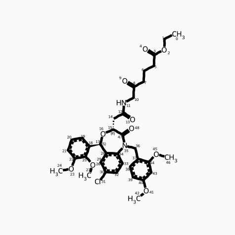 CCOC(=O)CCCC(=O)CNC(=O)C[C@H]1O[C@H](c2cccc(OC)c2OC)c2cc(Cl)ccc2N(Cc2ccc(OC)cc2OC)C1=O